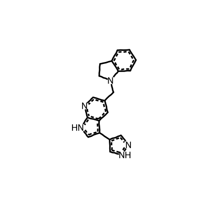 c1ccc2c(c1)CCN2Cc1cnc2[nH]cc(-c3cn[nH]c3)c2c1